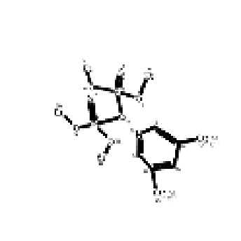 CCOP(=S)(OCC)OP(=S)(OCC)OCC.O=C(O)c1cncc(C(=O)O)c1